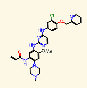 C=CC(=O)Nc1cc(Nc2nccc(Nc3ccc(OCc4ccccn4)c(Cl)c3)n2)c(OC)cc1N1CCN(C)CC1